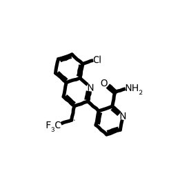 NC(=O)c1ncccc1-c1nc2c(Cl)cccc2cc1[CH]C(F)(F)F